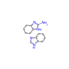 Nc1nc2ccccc2[nH]1.c1ccc2[nH]cnc2c1